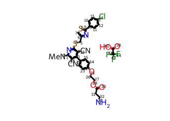 CNc1nc(SCc2csc(-c3ccc(Cl)cc3)n2)c(C#N)c(-c2ccc(OCCOC(=O)CCN)cc2)c1C#N.O=C(O)C(F)(F)F